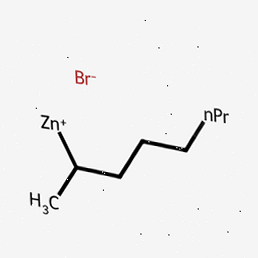 CCCCCC[CH](C)[Zn+].[Br-]